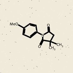 COc1ccc(N2C(=O)CC(C)(C)C2=O)cc1